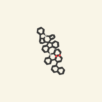 c1ccc(N(c2ccccc2-c2ccccc2-c2cccc3ccccc23)c2cccc3c2-c2ccccc2C32c3ccccc3-n3c4ccccc4c4cccc2c43)cc1